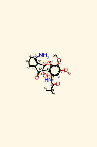 COc1cc(NC(=O)C(C)C)c(C2(O)C(=O)C3=CCCC(N)=C3C2=O)cc1OC